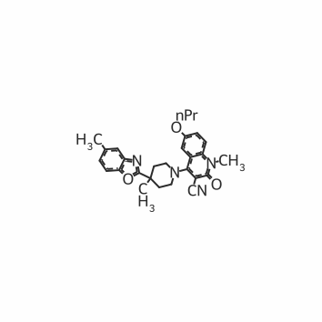 CCCOc1ccc2c(c1)c(N1CCC(C)(c3nc4cc(C)ccc4o3)CC1)c(C#N)c(=O)n2C